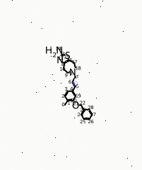 Cc1ccc(/C=C/CN2CCc3nc(N)sc3CC2)cc1OCc1ccccc1